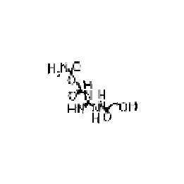 N=C(NNC(=O)CO)NC(=O)COC(N)=O